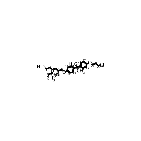 CCCN(CCC)CC(COc1ccc(C(C)(C)c2ccc(OCCCCl)cc2)cc1)N=O